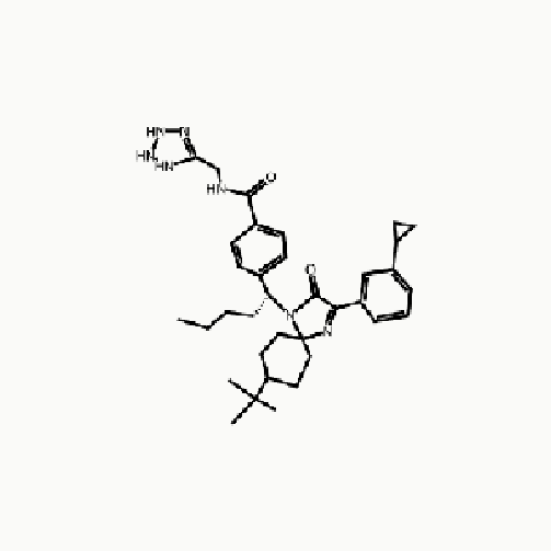 CCCC[C@H](c1ccc(C(=O)NCC2=NNNN2)cc1)N1C(=O)C(c2cccc(C3CC3)c2)=NC12CCC(C(C)(C)C)CC2